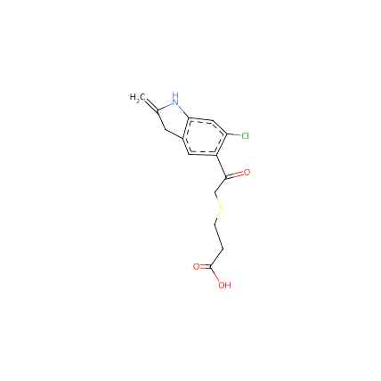 C=C1Cc2cc(C(=O)CSCCC(=O)O)c(Cl)cc2N1